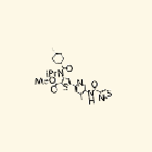 COC(=O)c1sc(-c2cc(C)c(NC(=O)c3cscn3)cn2)cc1N(C(=O)[C@H]1CC[C@H](C)CC1)C(C)C